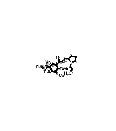 C=CCN1CCCC1CNC(=O)c1c[c]([Sn]([CH2]CCC)([CH2]CCC)[CH2]CCC)cc(OC)c1OC